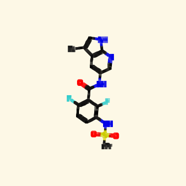 CCCS(=O)(=O)Nc1ccc(F)c(C(=O)Nc2cnc3[nH]cc(CC)c3c2)c1F